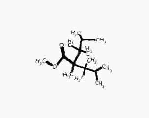 COC(=O)C(C)(C(C)(C)C(C)C)C(C)(C)C(C)C